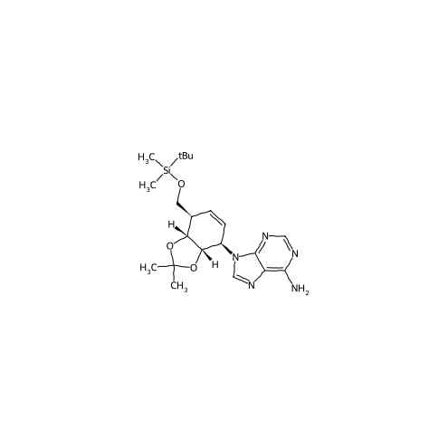 CC1(C)O[C@@H]2[C@H](O1)[C@@H](CO[Si](C)(C)C(C)(C)C)C=C[C@H]2n1cnc2c(N)ncnc21